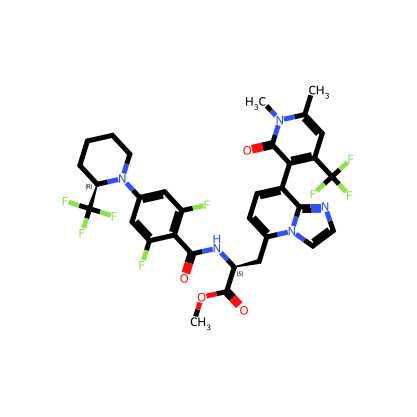 COC(=O)[C@H](Cc1ccc(-c2c(C(F)(F)F)cc(C)n(C)c2=O)c2nccn12)NC(=O)c1c(F)cc(N2CCCC[C@@H]2C(F)(F)F)cc1F